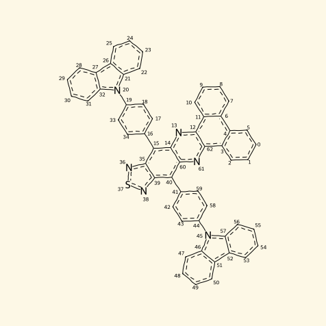 c1ccc2c(c1)c1ccccc1c1nc3c(-c4ccc(-n5c6ccccc6c6ccccc65)cc4)c4nsnc4c(-c4ccc(-n5c6ccccc6c6ccccc65)cc4)c3nc21